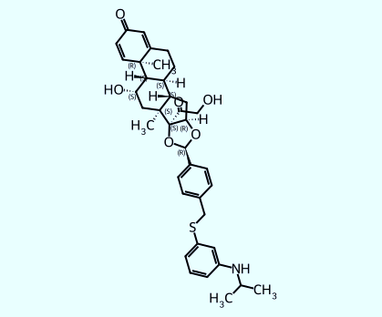 CC(C)Nc1cccc(SCc2ccc([C@@H]3O[C@@H]4C[C@H]5[C@@H]6CCC7=CC(=O)C=C[C@]7(C)[C@H]6[C@@H](O)C[C@]5(C)[C@]4(C(=O)CO)O3)cc2)c1